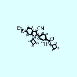 CCOc1ccc2c(C#N)c(-c3ccc(C(=O)NC4CCC4)cc3)n(C3CCC3)c2c1